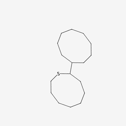 C1CCCCC(C2CCCCCCCS2)CCC1